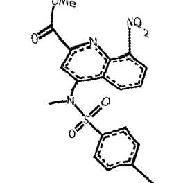 COC(=O)c1cc(N(C)S(=O)(=O)c2ccc(C)cc2)c2cccc([N+](=O)[O-])c2n1